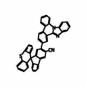 N#Cc1cc2c(cc1-c1ccc3c4ccccc4n4c5ccccc5nc4c3c1)C1(c3ccccc3Sc3ccccc31)c1ccccc1-2